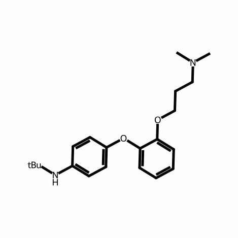 CN(C)CCCOc1ccccc1Oc1ccc(NC(C)(C)C)cc1